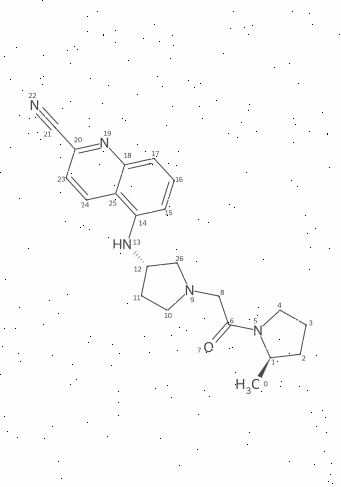 C[C@@H]1CCCN1C(=O)CN1CC[C@H](Nc2cccc3nc(C#N)ccc23)C1